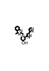 Cc1nc(CN2CCC(O)CC2C2=CC(=C3C=CN=N3)N=N2)nc2ccccc12